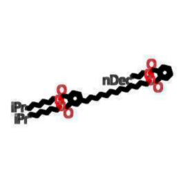 CCCCCCCCCCCCCOC(=O)c1ccccc1C(=O)OCCCCCCCCCCCCCc1ccc(C(=O)OCCCCCCC(C)C)c(C(=O)OCCCCCCC(C)C)c1